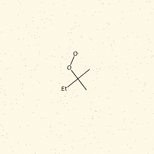 [CH2]CC(C)(C)O[O]